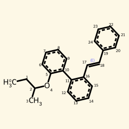 CCC(C)Oc1ccccc1-c1ccccc1/C=C/c1ccccc1